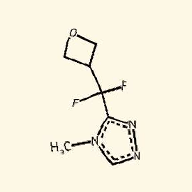 Cn1cnnc1C(F)(F)C1COC1